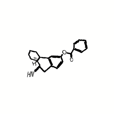 N=C1Cc2ccc(OC(=O)c3ccccc3)cc2C2CCCC[C@@H]12